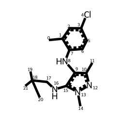 Cc1cc(Cl)ccc1Nc1c(C)nn(C)c1NCC(C)(C)C